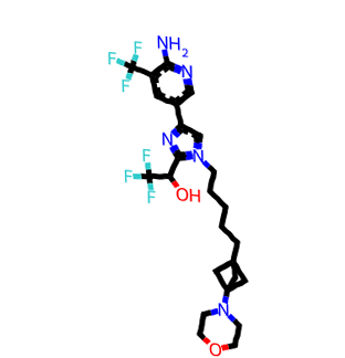 Nc1ncc(-c2cn(CCCCCC34CC(N5CCOCC5)(C3)C4)c(C(O)C(F)(F)F)n2)cc1C(F)(F)F